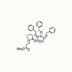 COC(=O)CC[C@H]1CCC[CH][C@H]1O[C@@H]1O[C@@H](C)[C@@H](OCc2ccccc2)[C@@H](OCc2ccccc2)[C@@H]1OCc1ccccc1